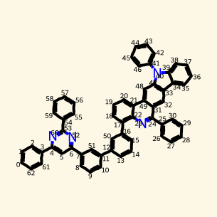 c1ccc(-c2cc(-c3cccc(-c4cccc(-c5cccc6c5nc(-c5ccccc5)c5cc7c8ccccc8n(-c8ccccc8)c7cc56)c4)c3)nc(-c3ccccc3)n2)cc1